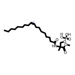 CCCCCCCC/C=C\CCCCCCCC(=O)NC(C)(COP(=O)(O)O)C(=O)OC